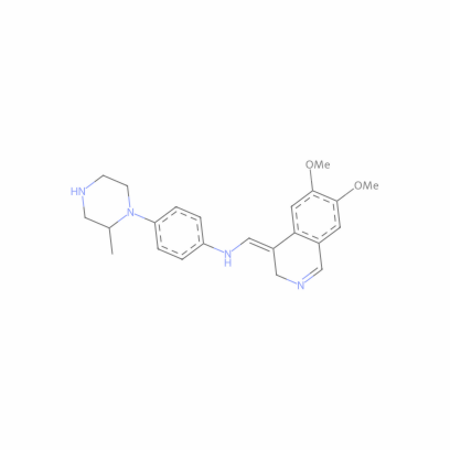 COc1cc2c(cc1OC)C(=CNc1ccc(N3CCNCC3C)cc1)CN=C2